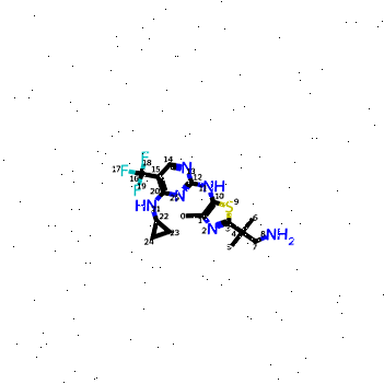 Cc1nc(C(C)(C)CN)sc1Nc1ncc(C(F)(F)F)c(NC2CC2)n1